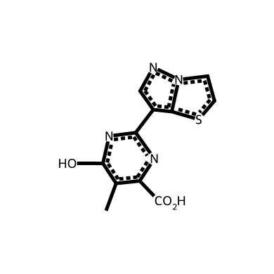 Cc1c(O)nc(-c2cnn3ccsc23)nc1C(=O)O